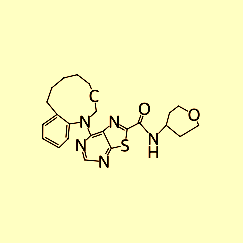 O=C(NC1CCOCC1)c1nc2c(N3CCCCCCCc4ccccc43)ncnc2s1